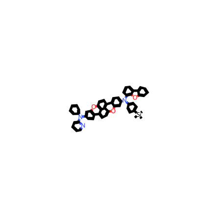 C[Si](C)(C)c1ccc(N(c2ccc3c(c2)Oc2ccc4c5c(ccc-3c25)Oc2cc(N(c3ccccc3)c3ccccn3)ccc2-4)c2cccc3c2oc2ccccc23)cc1